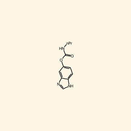 CCCNC(=O)Oc1ccc2[nH]cnc2c1